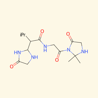 CC(C)C(C(=O)NCC(=O)N1C(=O)CNC1(C)C)C1NCC(=O)N1